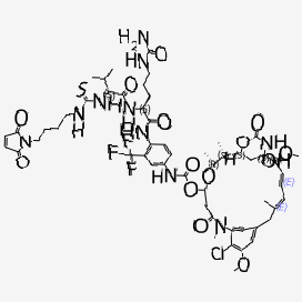 COc1cc2cc(c1Cl)N(C)C(=O)CC(OC(=O)Nc1ccc(NC(=O)[C@H](CCCNC(N)=O)NC(=O)[C@@H](NC(=S)NCCCCN3C(=O)C=CC3=O)C(C)C)c(C(F)(F)F)c1)O[C@H](C)[C@H](C)[C@@H]1C[C@@](O)(NC(=O)O1)[C@H](OC)/C=C/C=C(\C)C2